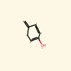 C=C1C=CC(O)=CC1